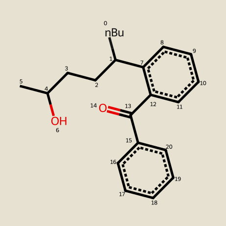 CCCCC(CCC(C)O)c1ccccc1C(=O)c1ccccc1